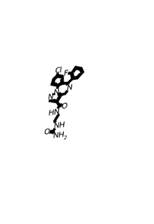 NC(=O)NCCNC(=O)c1cnn2c1CN=C(c1ccccc1F)c1cc(Cl)ccc1-2